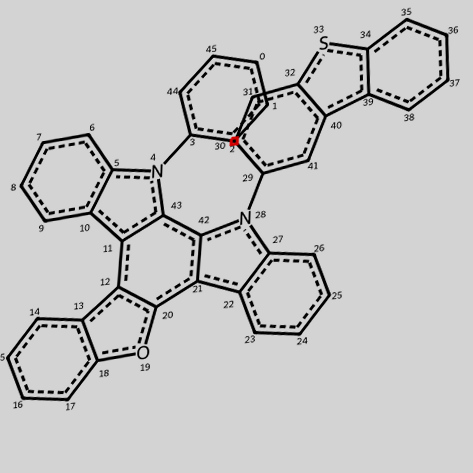 c1ccc(-n2c3ccccc3c3c4c5ccccc5oc4c4c5ccccc5n(-c5ccc6sc7ccccc7c6c5)c4c32)cc1